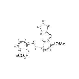 COc1ccc(CCc2cccc(C(=O)O)c2)cc1OC1CCCC1